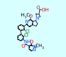 COc1nc(-c2cccc(-c3cccc(NC(=O)c4ccnn(C)c4=O)c3Cl)c2Cl)cc2c1C(N1CC(C(=O)O)C1)CC2